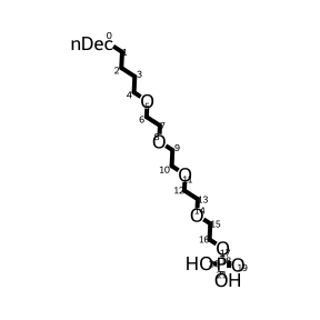 CCCCCCCCCCCCCCOCCOCCOCCOCCOP(=O)(O)O